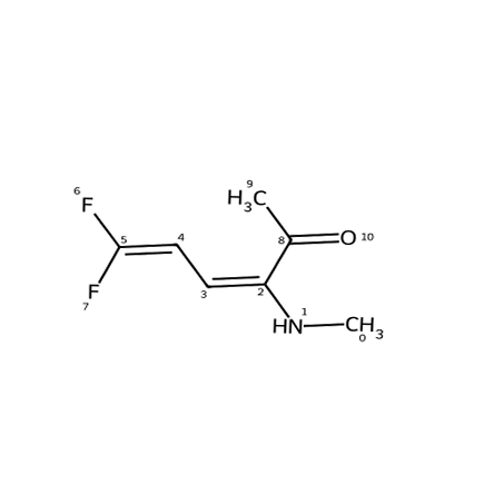 CNC(=CC=C(F)F)C(C)=O